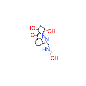 O=c1c2cccc3c(CNCCO)nn(c4c(O)ccc(O)c14)c32